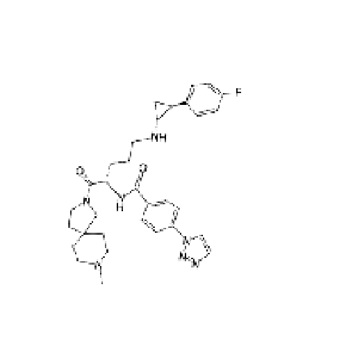 CN1CCC2(CC1)CCN(C(=O)[C@H](CCCN[C@@H]1C[C@H]1c1ccc(F)cc1)NC(=O)c1ccc(-n3ccnn3)cc1)C2